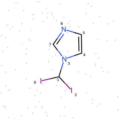 IC(I)n1ccnc1